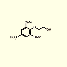 COc1cc(C(=O)O)cc(OC)c1OCCO